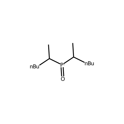 CCCCC(C)[P](=O)C(C)CCCC